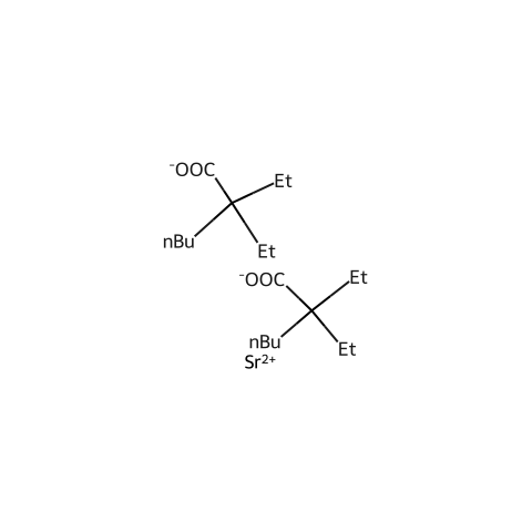 CCCCC(CC)(CC)C(=O)[O-].CCCCC(CC)(CC)C(=O)[O-].[Sr+2]